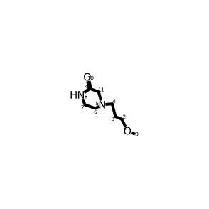 COCCCN1CCNC(=O)C1